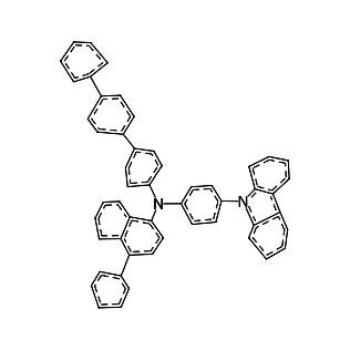 c1ccc(-c2ccc(-c3ccc(N(c4ccc(-n5c6ccccc6c6ccccc65)cc4)c4ccc(-c5ccccc5)c5ccccc45)cc3)cc2)cc1